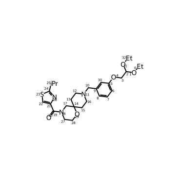 CCOC(COc1cccc(CN2CCC3(CC2)CN(C(=O)c2csc(C(C)C)n2)CCO3)c1)OCC